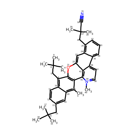 Cc1c2c(c(CC(C)(C)C)c3ccc(CC(C)(C)C)cc13)Oc1cc3c(CC(C)(C)C#N)cccc3c3cc[n+](C)c-2c13